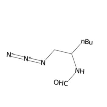 [CH2]CCCC(CN=[N+]=[N-])NC=O